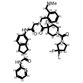 CCC1(C(=O)N(CC(=O)Nc2ccc3c(c2)C[C@H](C(=O)Nc2ccccn2)C3)Cc2ccccc2CNC)CCN(C(=O)N2CCC(F)(F)C2)CC1